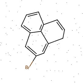 Brc1cc2c3c(cccc3c1)C=CC2